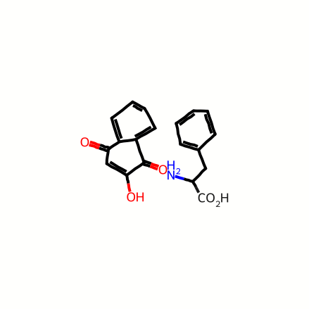 NC(Cc1ccccc1)C(=O)O.O=C1C=C(O)C(=O)c2ccccc21